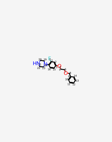 Fc1cc(OCCOCc2ccccc2)ccc1N1CCNCC1